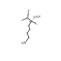 NCCCC[C@@](F)(C(=O)O)N(F)F